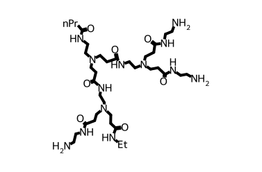 CCCC(=O)NCCN(CCC(=O)NCCN(CCC(=O)NCC)CCC(=O)NCCN)CCC(=O)NCCN(CCC(=O)NCCN)CCC(=O)NCCN